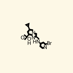 OC1(c2cc(C3CC3)cn3cc(CNc4ccnc(Br)c4)nc23)COC1